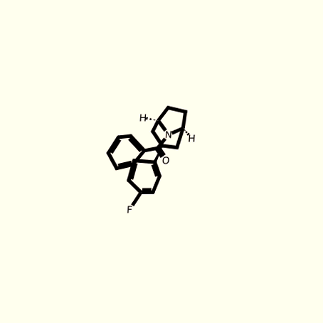 O=C(c1ccccc1)N1[C@@H]2CC[C@H]1C[C@@H](c1ccc(F)cc1)C2